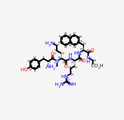 CN(C(=O)[C@H](N)Cc1ccc(O)cc1)[C@H](CCCN)C(=O)N[C@@H](CCCNC(=N)N)C(=O)N[C@@H](Cc1ccc2ccccc2c1)C(=O)NCC(=O)O